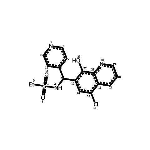 CCS(=O)(=O)NC(c1ccncc1)c1cc(Cl)c2cccnc2c1O